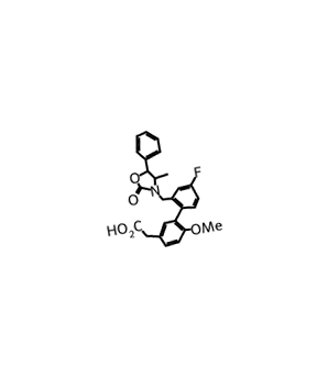 COc1ccc(CC(=O)O)cc1-c1ccc(F)cc1CN1C(=O)OC(c2ccccc2)C1C